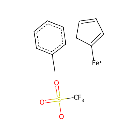 Cc1ccccc1.O=S(=O)([O-])C(F)(F)F.[Fe+][C]1=CC=CC1